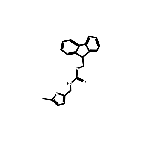 Cc1ccc(CNC(=O)OCC2c3ccccc3-c3ccccc32)s1